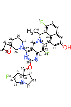 CCc1c(F)ccc2cc(O)cc(-c3ncc4c(N5CCCC6(CCO6)C5)nc(OC[C@@]56CCCN5C[C@H](F)C6)nc4c3F)c12